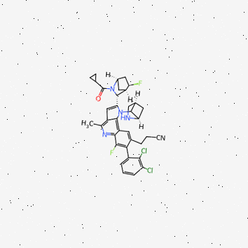 Cc1nc2c(F)c(-c3cccc(Cl)c3Cl)c(CCC#N)cc2c2c1cc([C@H]1[C@H]3C[C@H](C[C@H]3F)N1C(=O)C1CC1)n2C1[C@H]2CN[C@@H]1C2